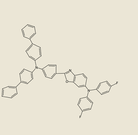 Fc1ccc(N(c2ccc(F)cc2)c2ccc3nc(-c4ccc(N(c5ccc(-c6ccccc6)cc5)c5ccc(-c6ccccc6)cc5)cc4)oc3c2)cc1